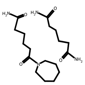 NC(=O)CCCCC(=O)N1CCCCCC1.NC(=O)CCCCC(N)=O